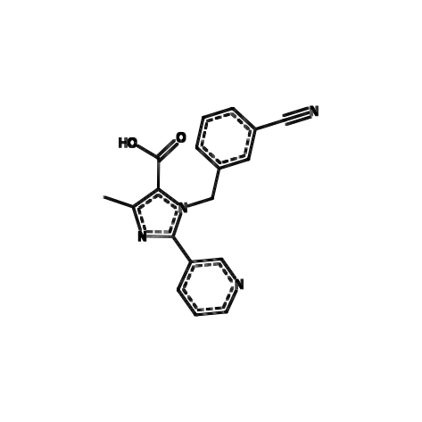 Cc1nc(-c2cccnc2)n(Cc2cccc(C#N)c2)c1C(=O)O